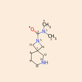 CN(C)C(=O)N1CC2(CCCNC2)C1